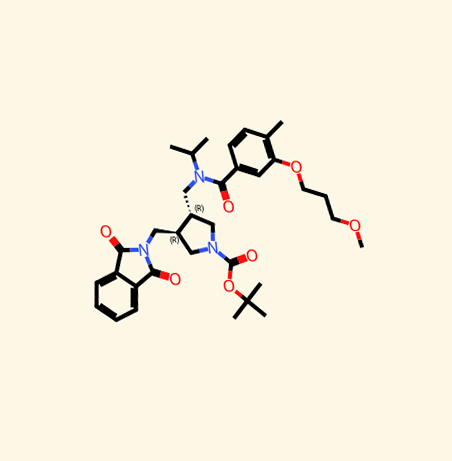 COCCCOc1cc(C(=O)N(C[C@@H]2CN(C(=O)OC(C)(C)C)C[C@H]2CN2C(=O)c3ccccc3C2=O)C(C)C)ccc1C